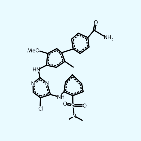 COc1cc(-c2ccc(C(N)=O)cc2)c(C)cc1Nc1ncc(Cl)c(Nc2ccccc2S(=O)(=O)N(C)C)n1